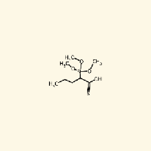 CCCC(C(O)=S)[Si](OC)(OC)OC